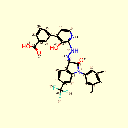 Cc1cc(C)cc(N2C(=O)/C(=N\Nc3nccc(-c4cccc(C(=O)O)c4)c3O)c3ccc(C(F)(F)F)cc32)c1